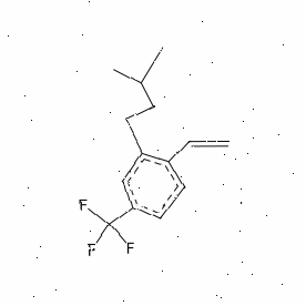 C=Cc1ccc(C(F)(F)F)cc1CCC(C)C